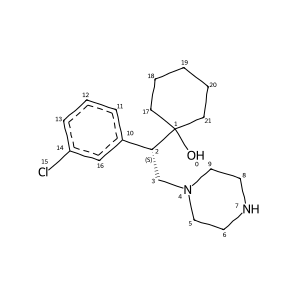 OC1([C@H](CN2CCNCC2)c2cccc(Cl)c2)CCCCC1